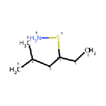 CC[C](CC(C)C)SN